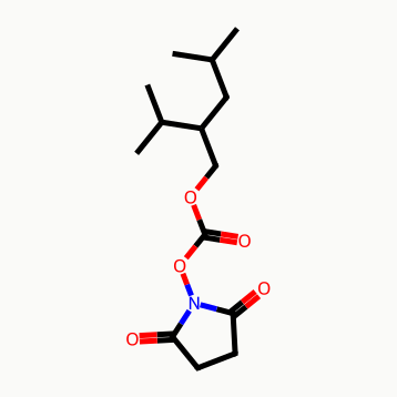 CC(C)CC(COC(=O)ON1C(=O)CCC1=O)C(C)C